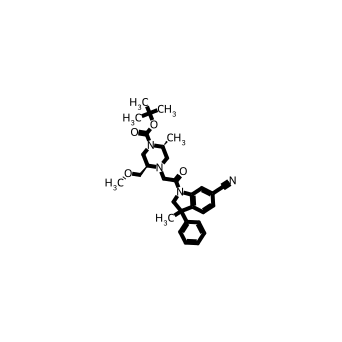 COC[C@H]1CN(C(=O)OC(C)(C)C)[C@H](C)CN1CC(=O)N1CC(C)(c2ccccc2)c2ccc(C#N)cc21